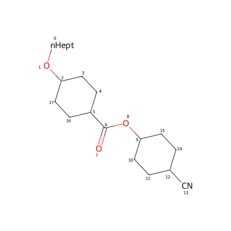 CCCCCCCOC1CCC(C(=O)OC2CCC(C#N)CC2)CC1